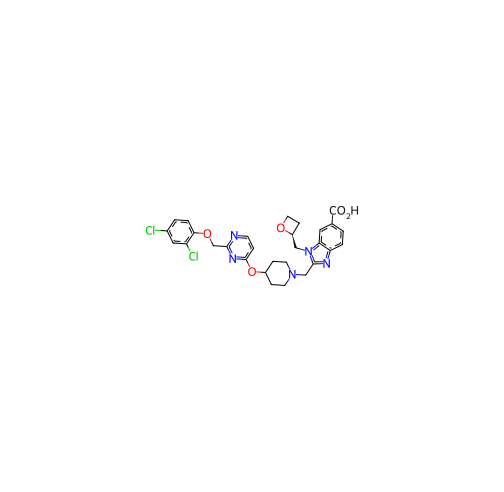 O=C(O)c1ccc2nc(CN3CCC(Oc4ccnc(COc5ccc(Cl)cc5Cl)n4)CC3)n(C[C@@H]3CCO3)c2c1